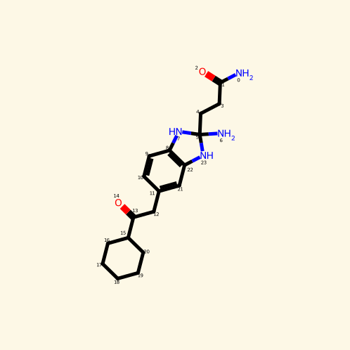 NC(=O)CCC1(N)Nc2ccc(CC(=O)C3CCCCC3)cc2N1